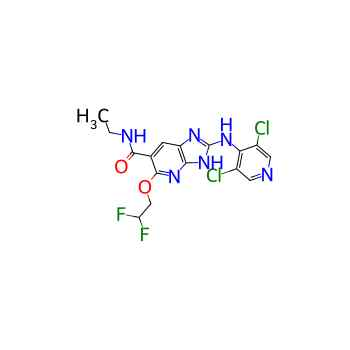 CCNC(=O)c1cc2nc(Nc3c(Cl)cncc3Cl)[nH]c2nc1OCC(F)F